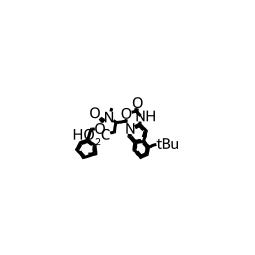 CN(C(=O)OCc1ccccc1)C(COC(=O)Nc1cc2c(C(C)(C)C)cccc2cn1)CC(=O)O